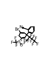 N#Cc1ccccc1C1(C(F)(C(F)(F)F)C(F)(F)C(F)(F)F)C=C(Br)[CH]C([S+]([O-])C(F)(F)F)=C1